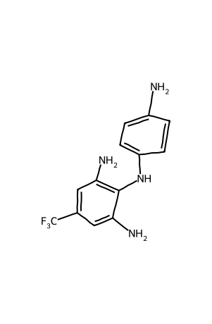 Nc1ccc(Nc2c(N)cc(C(F)(F)F)cc2N)cc1